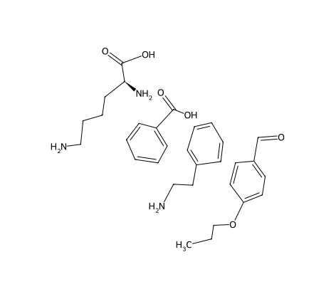 CCCOc1ccc(C=O)cc1.NCCCC[C@H](N)C(=O)O.NCCc1ccccc1.O=C(O)c1ccccc1